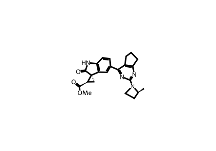 COC(=O)[C@@H]1C[C@@]12C(=O)Nc1ccc(-c3nc(N4CC[C@@H]4C)nc4c3CCC4)cc12